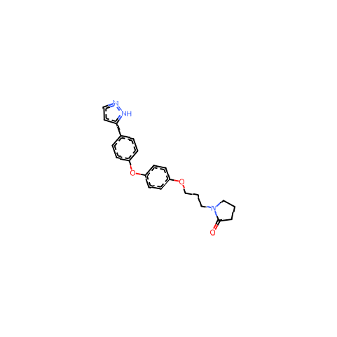 O=C1CCCN1CCCOc1ccc(Oc2ccc(-c3ccn[nH]3)cc2)cc1